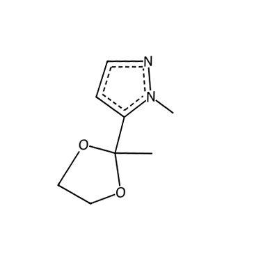 Cn1nccc1C1(C)OCCO1